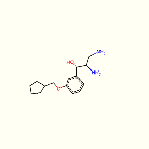 NC[C@@H](N)[C@@H](O)c1cccc(OCC2CCCC2)c1